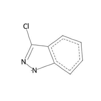 ClC1=N[N]c2ccccc21